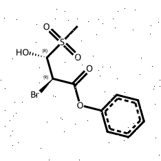 CS(=O)(=O)[C@@H](O)[C@H](Br)C(=O)Oc1ccccc1